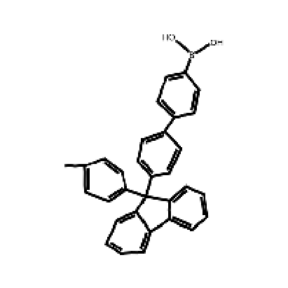 Cc1ccc(C2(c3ccc(-c4ccc(B(O)O)cc4)cc3)c3ccccc3-c3ccccc32)cc1